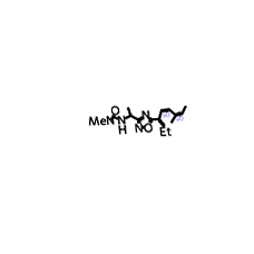 C/C=C(C)\C=C/C(=CCC)c1nc(C(C)NC(=O)NC)no1